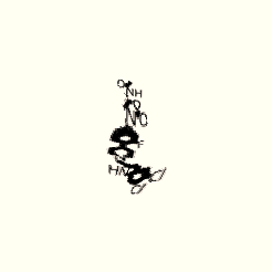 CC(=O)NC[C@H]1CN(c2ccc(C3CCN(Cc4cc5cc(Cl)c(Cl)cc5[nH]4)CC3)c(F)c2)C(=O)O1